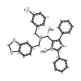 CCCC[C@H](c1c(-c2ccccc2)nc(-c2ccccc2)n1CCCC)N(Cc1cccc(C(F)(F)F)c1)Cc1ccc2c(c1)OCO2